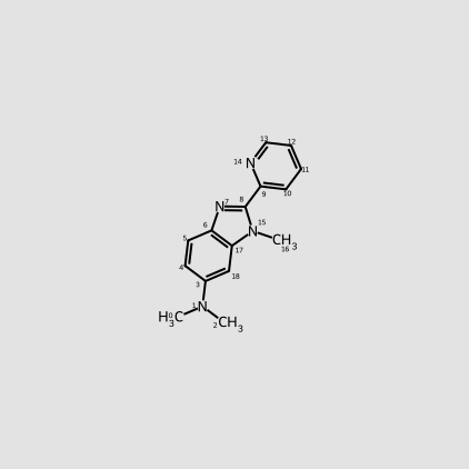 CN(C)c1ccc2nc(-c3ccccn3)n(C)c2c1